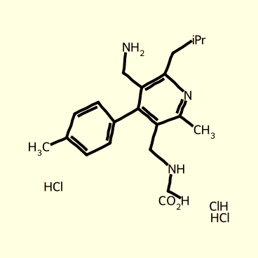 Cc1ccc(-c2c(CNCC(=O)O)c(C)nc(CC(C)C)c2CN)cc1.Cl.Cl.Cl